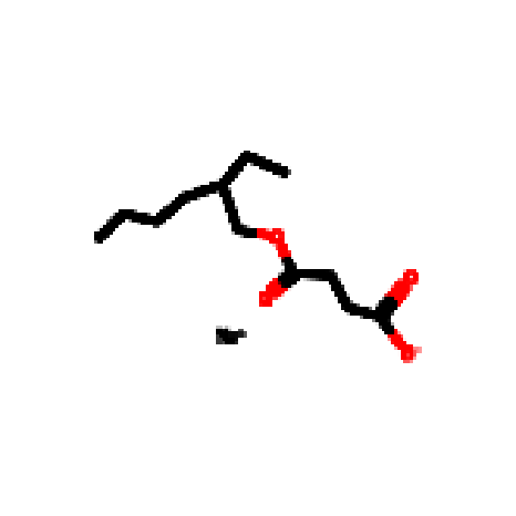 CCCCC(CC)COC(=O)CCC(=O)[O-].[Na+]